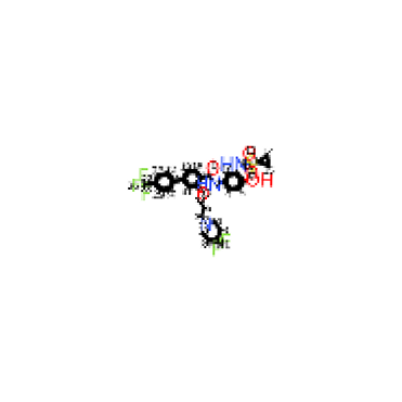 O=C(Nc1ccc(O)c(NS(=O)(=O)C2CC2)c1)c1ccc(-c2ccc(C(F)(F)F)cc2)cc1OCCCN1CCC(F)(F)CC1